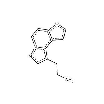 NCCc1cnn2ccc3occc3c12